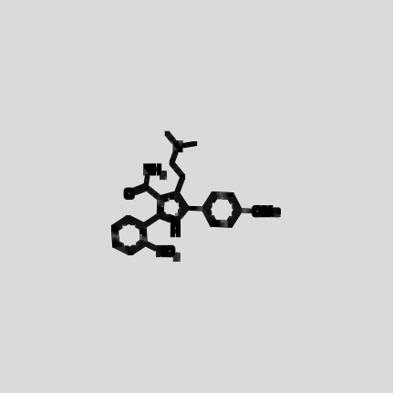 COc1ccc(-c2[nH]c(-c3ccccc3[N+](=O)[O-])c(C(N)=O)c2CCN(C)C)cc1